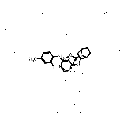 Cc1ccc(Nc2ncnc(O[C@H]3CC4CCC3N4C(=O)OC(C)(C)C)c2C)c(F)c1